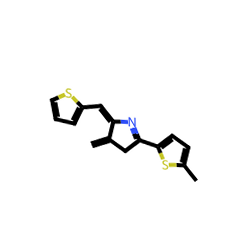 C=C1CC(c2ccc(C)s2)=N/C1=C/c1cccs1